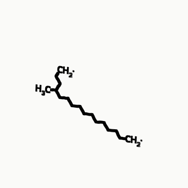 [CH2]CCCCCCCCCCCC(C)CC[CH2]